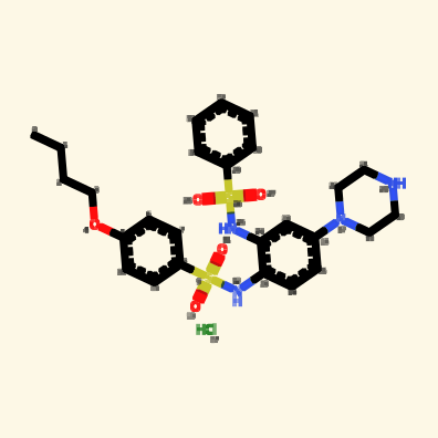 CCCCOc1ccc(S(=O)(=O)Nc2ccc(N3CCNCC3)cc2NS(=O)(=O)c2ccccc2)cc1.Cl